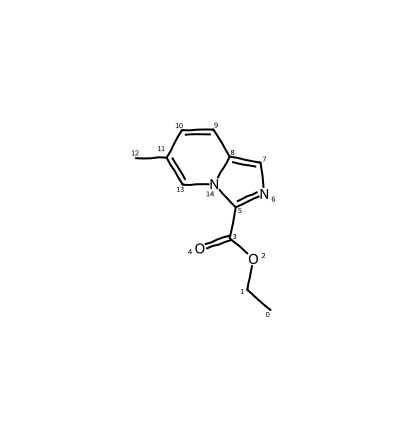 CCOC(=O)c1ncc2ccc(C)cn12